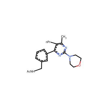 CCCc1c(C)nc(N2CCOCC2)nc1-c1cccc(CNC(C)=O)c1